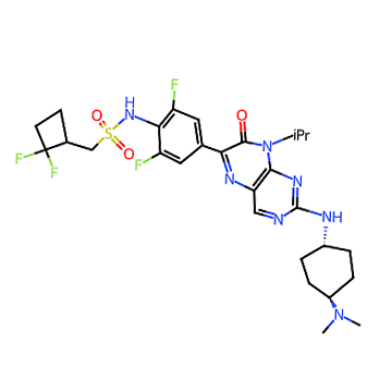 CC(C)n1c(=O)c(-c2cc(F)c(NS(=O)(=O)CC3CCC3(F)F)c(F)c2)nc2cnc(N[C@H]3CC[C@H](N(C)C)CC3)nc21